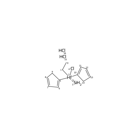 C[CH2][Hf](=[SiH2])([Cl])([C]1=CC=CC1)[C]1=CC=CC1.Cl.Cl